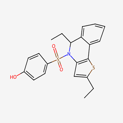 CCc1cc2c(s1)-c1ccccc1C(CC)N2S(=O)(=O)c1ccc(O)cc1